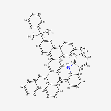 Cc1ccc2c3cc(C(C)(C)c4ccccc4)ccc3c3cc4c5c(c3c2c1)-n1c2ccccc2c2cccc(c21)B5c1cccc2c1C4Cc1ccccc1-2